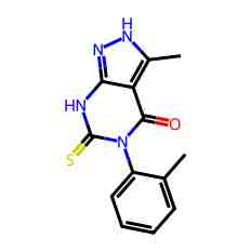 Cc1ccccc1-n1c(=S)[nH]c2n[nH]c(C)c2c1=O